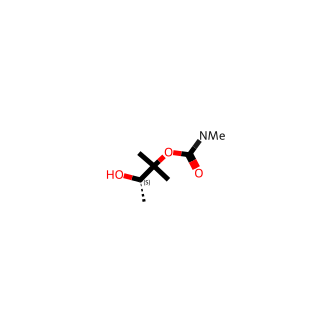 CNC(=O)OC(C)(C)[C@H](C)O